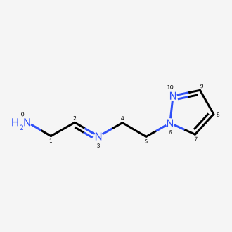 NCC=NCCn1cccn1